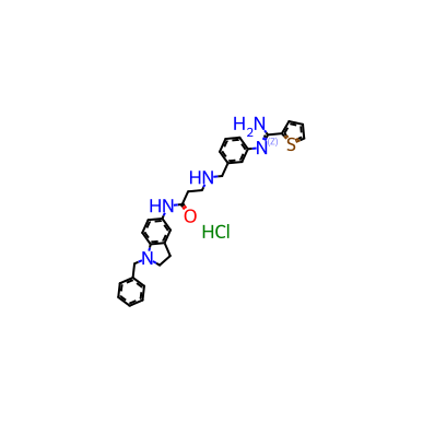 Cl.N/C(=N\c1cccc(CNCCC(=O)Nc2ccc3c(c2)CCN3Cc2ccccc2)c1)c1cccs1